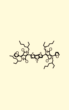 CCCCC(CC)CN1C(=O)C2=C(c3cc4c(s3)c3sc(C5=C6C(=O)N(CC(CC)CCCC)C(c7ccco7)=C6C(=O)N5CC(CC)CCCC)cc3n4C)N(CC(CC)CCCC)C(=O)C2=C1c1ccco1